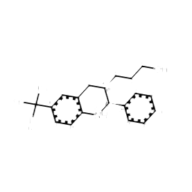 OCCC[C@@H]1Cc2cc(C(F)(F)F)ccc2N[C@@H]1c1ccccc1